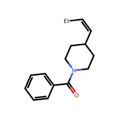 CC/C=C\C1CCN(C(=O)c2ccccc2)CC1